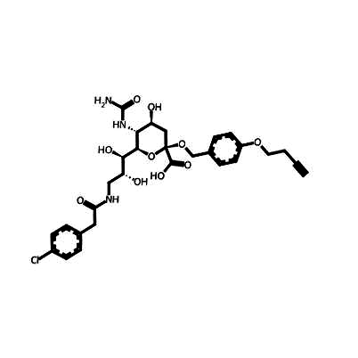 C#CCCOc1ccc(CO[C@]2(C(=O)O)C[C@H](O)[C@@H](NC(N)=O)[C@H]([C@H](O)[C@H](O)CNC(=O)Cc3ccc(Cl)cc3)O2)cc1